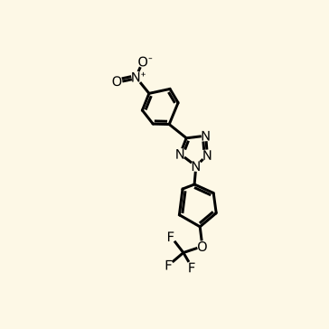 O=[N+]([O-])c1ccc(-c2nnn(-c3ccc(OC(F)(F)F)cc3)n2)cc1